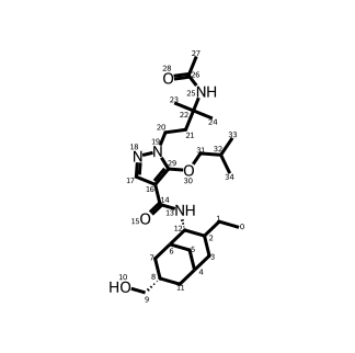 CCC1CC2CC(C[C@@H](CO)C2)[C@@H]1NC(=O)c1cnn(CCC(C)(C)NC(C)=O)c1OCC(C)C